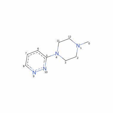 CN1CCN(c2cccnn2)CC1